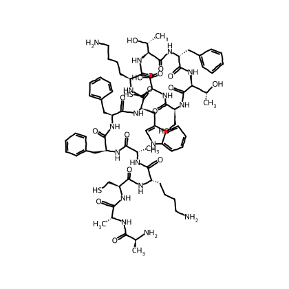 C[C@H](N)C(=O)N[C@H](C)C(=O)N[C@@H](CS)C(=O)N[C@@H](CCCCN)C(=O)N[C@@H](C)C(=O)N[C@@H](Cc1ccccc1)C(=O)N[C@@H](Cc1ccccc1)C(=O)N[C@H](Cc1c[nH]c2ccccc12)C(=O)N[C@@H](CCCCN)C(=O)N[C@H](C(=O)N[C@H](Cc1ccccc1)C(=O)N[C@H](C(=O)N[C@@H](CO)C(=O)N[C@@H](CS)C(=O)O)[C@@H](C)O)[C@@H](C)O